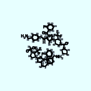 CN(Cc1ccc(CN)cc1)c1cc(C2CCN(S(C)(=O)=O)C2C(F)(F)F)nn1C(=O)c1ccccc1F.Cc1c(C2CCN(C(=O)N3CCCC3)CC2C(F)(F)F)nn(C(=O)c2ccccc2F)c1NCc1ccc(CN)cc1